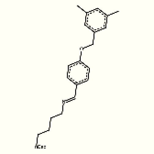 CCCCCCCCCCCCCCN=Cc1ccc(OCc2cc(C)cc(C)c2)cc1